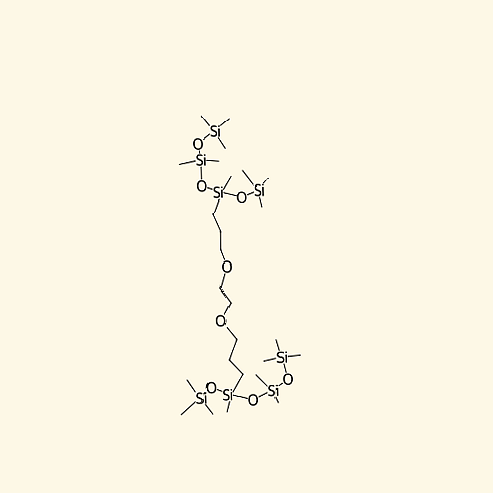 C[Si](C)(C)O[Si](C)(C)O[Si](C)(CCCOCCOCCC[Si](C)(O[Si](C)(C)C)O[Si](C)(C)O[Si](C)(C)C)O[Si](C)(C)C